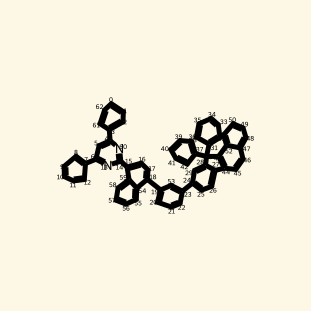 c1ccc(-c2cc(-c3ccccc3)nc(-c3ccc(-c4cccc(-c5ccc6c(c5)C(c5ccccc5)(c5ccccc5)c5c-6ccc6ccccc56)c4)c4ccccc34)n2)cc1